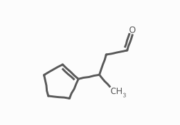 CC(CC=O)C1=CCCC1